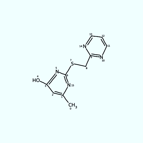 Cc1cc(O)nc(SCc2ncccn2)n1